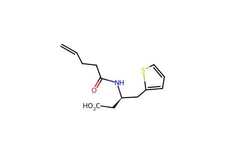 C=CCCC(=O)N[C@H](CC(=O)O)Cc1cccs1